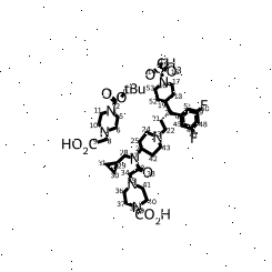 CC(C)(C)OC(=O)N1CCN(CC(=O)O)CC1.CS(=O)(=O)N1CCC([C@@H](CCN2CCC(N(CC3CC3)C(=O)CN3CCN(C(=O)O)CC3)CC2)c2cc(F)cc(F)c2)CC1